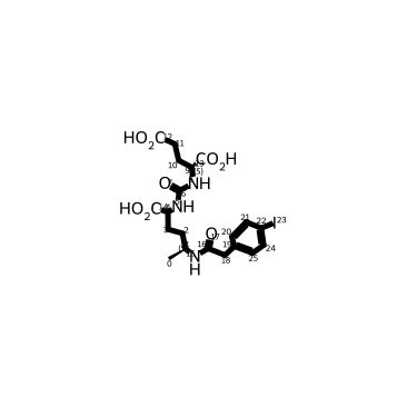 C[C@@H](CCC(NC(=O)N[C@@H](CCC(=O)O)C(=O)O)C(=O)O)NC(=O)Cc1ccc(I)cc1